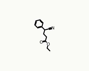 CCOC(=O)CCC(C#N)c1ccccc1